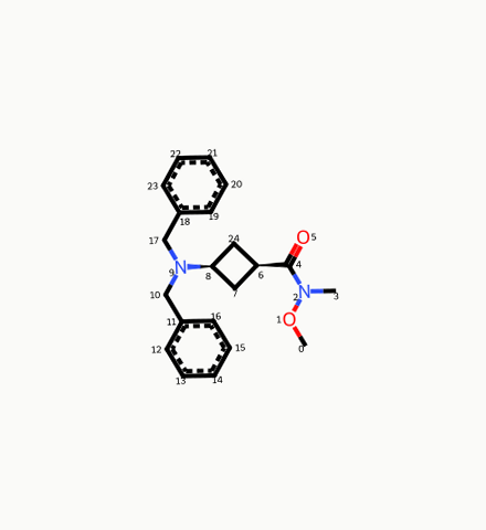 CON(C)C(=O)[C@H]1C[C@@H](N(Cc2ccccc2)Cc2ccccc2)C1